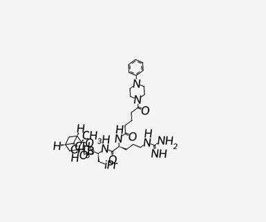 CC(C)C[C@H](NC(=O)[C@H](CCCNC(=N)N)NC(=O)CCCC(=O)N1CCN(c2ccccc2)CC1)B1O[C@@H]2C[C@@H]3C[C@@H](C3(C)C)[C@]2(C)O1